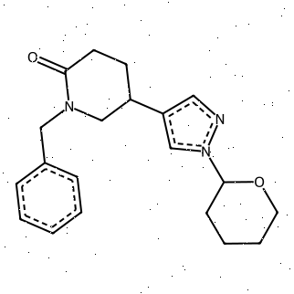 O=C1CCC(c2cnn(C3CCCCO3)c2)CN1Cc1ccccc1